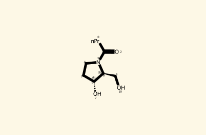 CCCC(=O)N1CC[C@@H](O)[C@@H]1CO